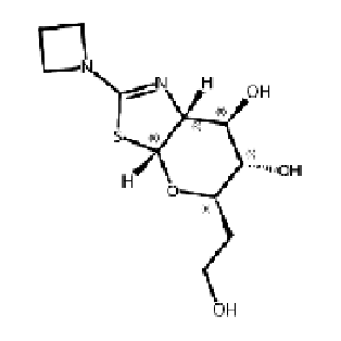 OCC[C@H]1O[C@@H]2SC(N3CCC3)=N[C@@H]2[C@@H](O)[C@@H]1O